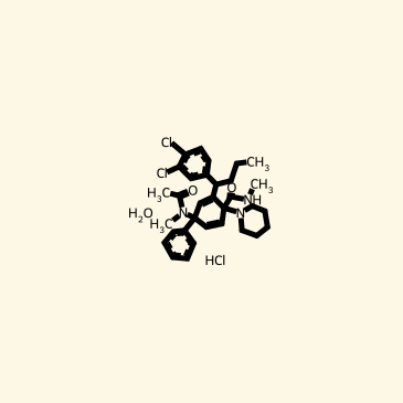 CCCC(C1=CC(c2ccccc2)(N(C)C(C)=O)C=CC1(C(=O)NC)N1CCCCC1)c1ccc(Cl)c(Cl)c1.Cl.O